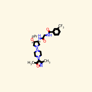 CCCO[C@@H]1CN(N2CCN(c3c(C)noc3C)CC2)C[C@H]1NC(=O)CNC(=O)c1cccc(C(F)(F)F)c1